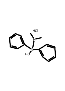 CN(C)S(O)(c1ccccc1)c1ccccc1.Cl